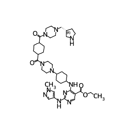 CCOC(=O)c1cnc(Nc2cnn(C)c2)nc1NC1CCC(N2CCN(C(=O)C3CCC(C(=O)N4CCN(C[C@@H]5CCNC5)CC4)CC3)CC2)CC1